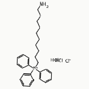 Cl.Cl.NCCCCCCCCCC[P+](c1ccccc1)(c1ccccc1)c1ccccc1.[Cl-]